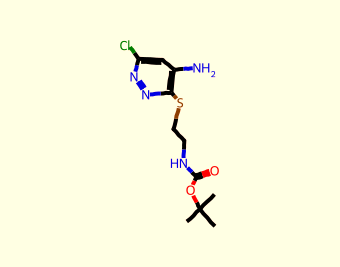 CC(C)(C)OC(=O)NCCSc1nnc(Cl)cc1N